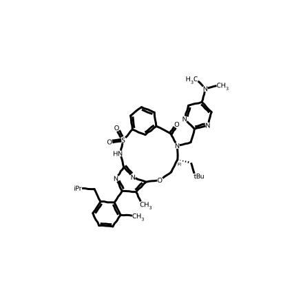 Cc1cccc(CC(C)C)c1-c1nc2nc(c1C)OC[C@@H](CC(C)(C)C)N(Cc1ncc(N(C)C)cn1)C(=O)c1cccc(c1)S(=O)(=O)N2